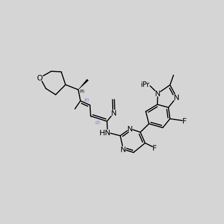 C=N/C(=C\C=C(/C)[C@H](C)C1CCOCC1)Nc1ncc(F)c(-c2cc(F)c3nc(C)n(C(C)C)c3c2)n1